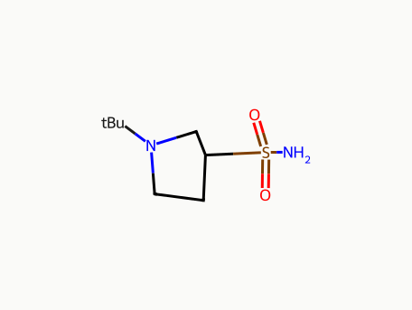 CC(C)(C)N1CCC(S(N)(=O)=O)C1